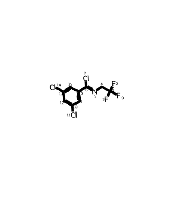 FC(F)(F)CN=C(Cl)c1cc(Cl)cc(Cl)c1